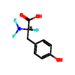 O=C(O)[C@](F)(Cc1ccc(O)cc1)N(F)F